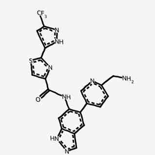 NCc1ccc(-c2cc3cn[nH]c3cc2NC(=O)c2csc(-c3cc(C(F)(F)F)n[nH]3)n2)cn1